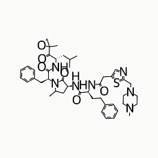 CC(C)C[C@H](NC(=O)[C@H](Cc1ccccc1)N1C(=O)[C@@H](NC(=O)[C@H](CCc2ccccc2)NC(=O)Cc2cnc(CN3CCN(C)CC3)s2)CC1C)C(=O)C1(C)CO1